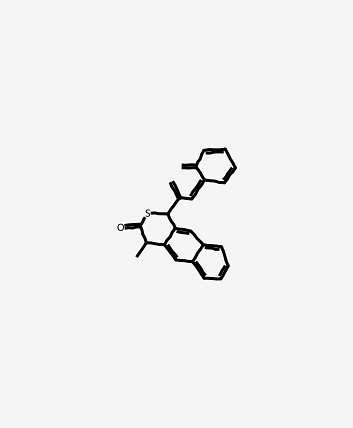 C=C(/C=c1/ccccc1=C)C1SC(=O)C(C)c2cc3ccccc3cc21